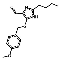 CCCCc1nc(C=O)c(SCc2ccc(OC)cc2)[nH]1